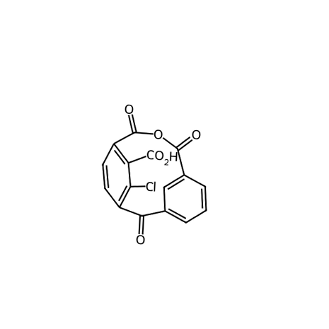 O=C1OC(=O)c2ccc(c(Cl)c2C(=O)O)C(=O)c2cccc1c2